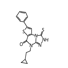 O=c1c2sc(-c3ccccc3)cc2n2c(=S)[nH]nc2n1CCC1CC1